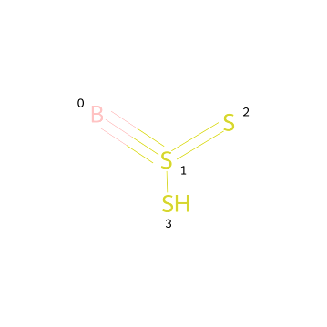 B#S(=S)S